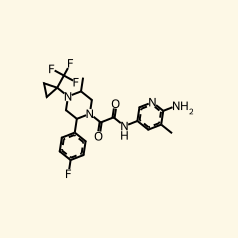 Cc1cc(NC(=O)C(=O)N2CC(C)N(C3(C(F)(F)F)CC3)CC2c2ccc(F)cc2)cnc1N